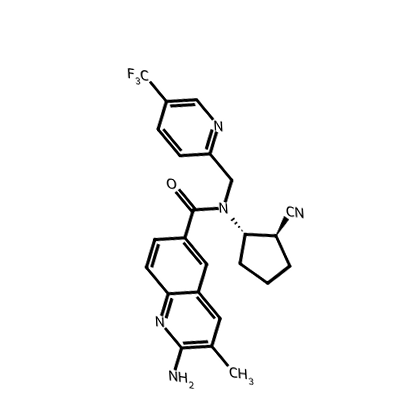 Cc1cc2cc(C(=O)N(Cc3ccc(C(F)(F)F)cn3)[C@H]3CCC[C@@H]3C#N)ccc2nc1N